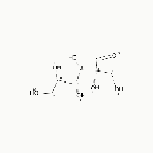 O=C[C@@](O)(CO)[C@@H](O)[C@H](O)[C@@H](O)CO